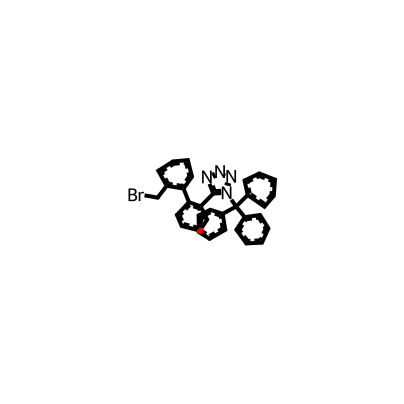 BrCc1ccccc1-c1ccccc1-c1nnnn1C(c1ccccc1)(c1ccccc1)c1ccccc1